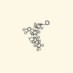 CC[C@@H]1NC(=O)[C@@]2(C[C@H]3C(=O)N(CC(C)C)[C@]4(C[C@H]5C(=O)N(Cc6ccc(Cl)c(Cl)c6)[C@]6(C[C@@H]7C(=O)N[C@@H](CCc8ccccc8)C(=O)N7C6)C(=O)N5C4)C(=O)N3C2)NC1=O